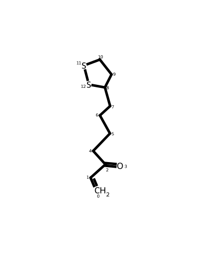 C=CC(=O)CCCCC1CCSS1